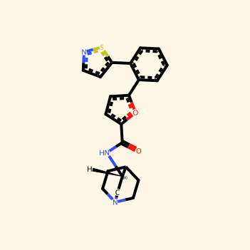 O=C(N[C@H]1CN2CCC1CC2)c1ccc(-c2ccccc2-c2ccns2)o1